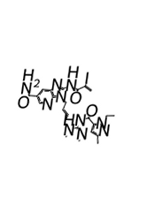 C=C(I)C(=O)Nc1nc2cc(C(N)=O)cnc2n1C/C=C/CN(C)/C(=N\C)NC(=O)c1cc(C)nn1CC